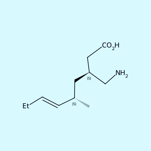 CCC=C[C@@H](C)C[C@H](CN)CC(=O)O